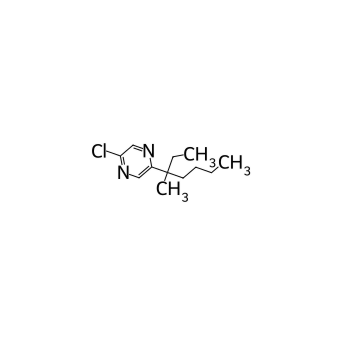 CCCCC(C)(CC)c1cnc(Cl)cn1